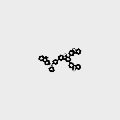 CC1(C)c2ccccc2-c2ccc(N(c3ccccc3)c3ccc(-c4ccc5oc6c(-c7ccc8oc9ccccc9c8c7)cc(C7=CC8C(C=C7)OC7=CC=CCC78)cc6c5c4)cc3)cc21